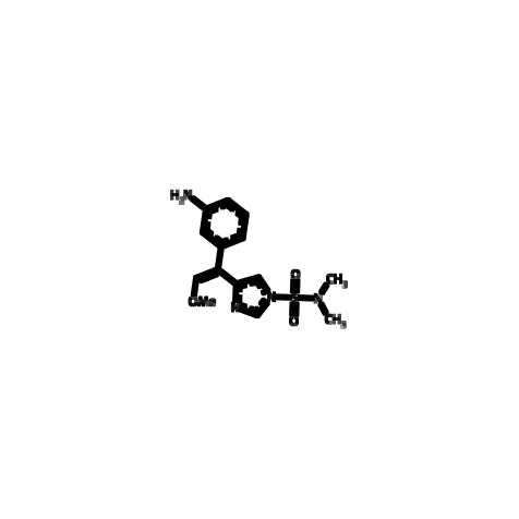 COC=C(c1cccc(N)c1)c1cn(S(=O)(=O)N(C)C)cn1